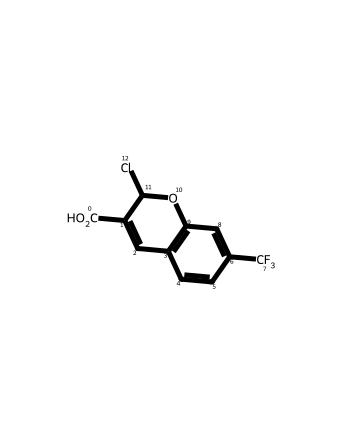 O=C(O)C1=Cc2ccc(C(F)(F)F)cc2OC1Cl